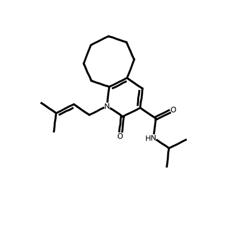 CC(C)=CCn1c2c(cc(C(=O)NC(C)C)c1=O)CCCCCC2